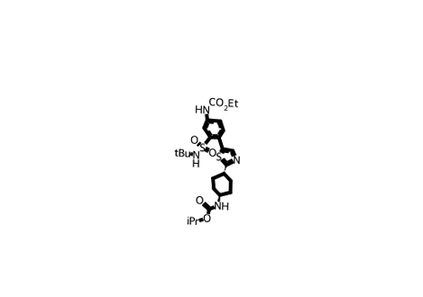 CCOC(=O)Nc1ccc(-c2cnc([C@H]3CC[C@H](NC(=O)OC(C)C)CC3)s2)c(S(=O)(=O)NC(C)(C)C)c1